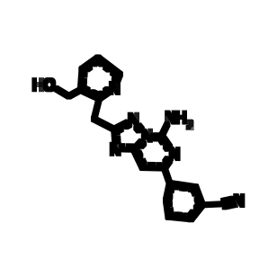 N#Cc1cccc(-c2cc3nc(Cc4ncccc4CO)nn3c(N)n2)c1